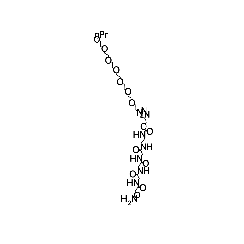 CCCOCCOCCOCCOCCOCCOCCOCCn1cc(COC(=O)NCCNC(=O)CNC(=O)CNC(=O)CNC(=O)CON)nn1